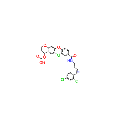 O=C(O)OC1CCOc2cc(Oc3ccc(C(=O)NCC/C=C\c4ccc(Cl)cc4Cl)cc3)c(Cl)cc21